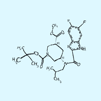 COC(=O)[C@@H]1C[C@H](N(CC(C)C)C(=O)c2nc3cc(F)c(F)cc3[nH]2)CN(C(=O)OC(C)(C)C)C1